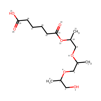 CC(CO)OCC(C)OCC(C)OC(=O)CCCCC(=O)O